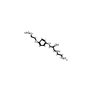 CCCOCCOc1ccc(OCC(O)CNCCN)cc1